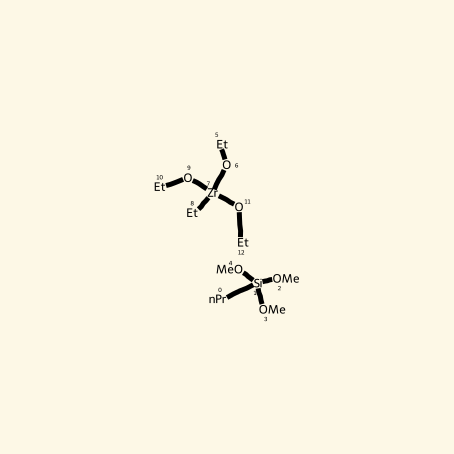 CCC[Si](OC)(OC)OC.CC[O][Zr]([CH2]C)([O]CC)[O]CC